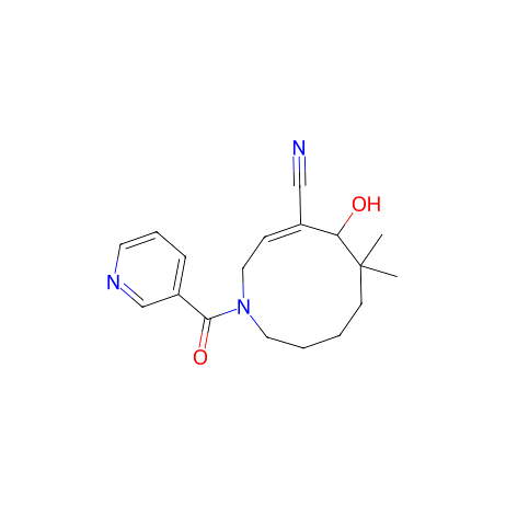 CC1(C)CCCCN(C(=O)c2cccnc2)C/C=C(/C#N)C1O